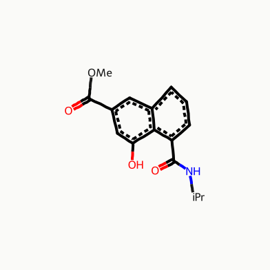 COC(=O)c1cc(O)c2c(C(=O)NC(C)C)cccc2c1